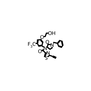 C#Cc1nc(C(=O)N(c2cc(OCCO)cc(C(F)(F)F)c2)C2CCN(Cc3ccccc3)C2=O)cs1